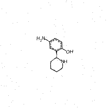 Nc1ccc(O)c([C@@H]2CCCCN2)c1